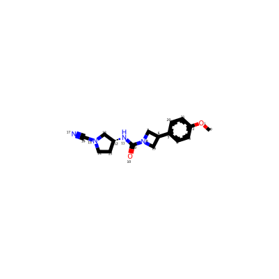 COc1ccc(C2CN(C(=O)N[C@@H]3CCN(C#N)C3)C2)cc1